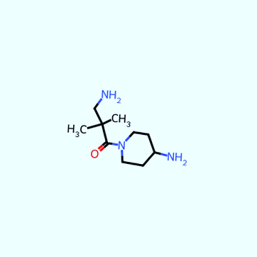 CC(C)(CN)C(=O)N1CCC(N)CC1